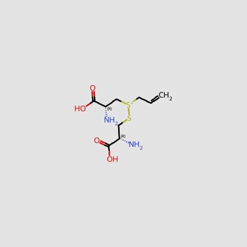 C=CC[S+](C[C@H](N)C(=O)O)SC[C@H](N)C(=O)O